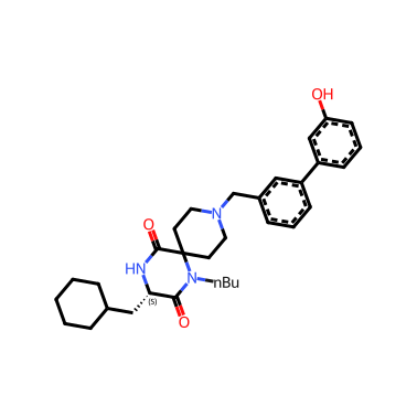 CCCCN1C(=O)[C@H](CC2CCCCC2)NC(=O)C12CCN(Cc1cccc(-c3cccc(O)c3)c1)CC2